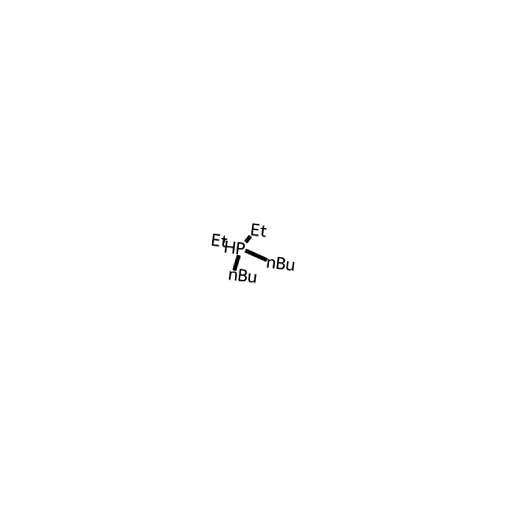 CCCC[PH](CC)(CC)CCCC